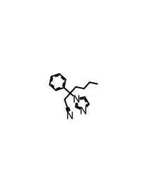 CCCCC(CC#N)(c1ccccc1)n1ccnc1